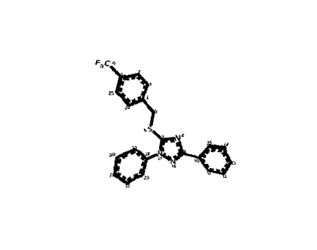 FC(F)(F)c1ccc(CSc2nc(-c3ccccc3)nn2-c2ccccc2)cc1